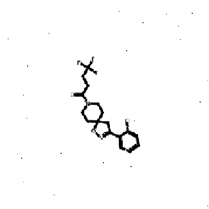 O=C(CCC(F)(F)F)N1CCC2(CC1)CC(c1ccccc1Cl)=NO2